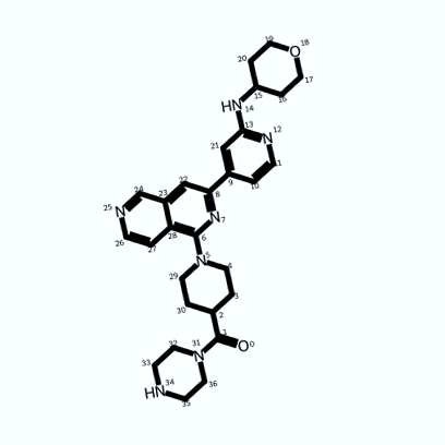 O=C(C1CCN(c2nc(-c3ccnc(NC4CCOCC4)c3)cc3cnccc23)CC1)N1CCNCC1